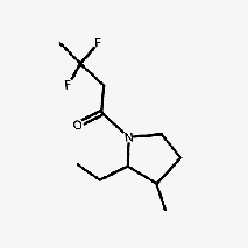 CCC1C(C)CCN1C(=O)CC(C)(F)F